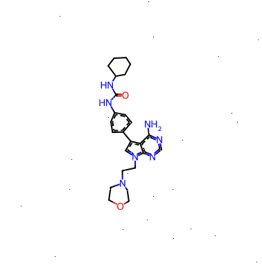 Nc1ncnc2c1c(-c1ccc(NC(=O)NC3CCCCC3)cc1)cn2CCN1CCOCC1